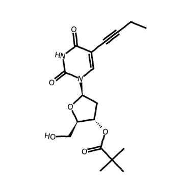 CCC#Cc1cn([C@H]2C[C@H](OC(=O)C(C)(C)C)[C@@H](CO)O2)c(=O)[nH]c1=O